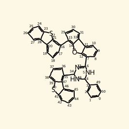 c1ccc(C2NC(c3cccc4c3oc3c(-c5cccc6c5sc5ccccc56)cccc34)=NC(c3cccc4sc5ccccc5c34)N2)cc1